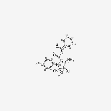 COC1(Cl)N(Cl)C(N)=C(C(=O)OC(=O)c2ccccc2)N1c1ccc(F)cc1